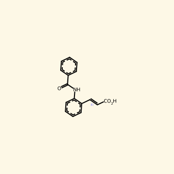 O=C(O)/C=C/c1ccccc1NC(=O)c1ccccc1